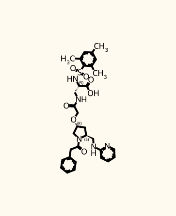 Cc1cc(C)c(S(=O)(=O)N[C@@H](CNC(=O)CO[C@@H]2C[C@@H](CNc3ccccn3)N(C(=O)Cc3ccccc3)C2)C(=O)O)c(C)c1